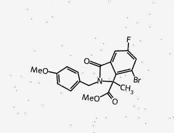 COC(=O)C1(C)c2c(Br)cc(F)cc2C(=O)N1Cc1ccc(OC)cc1